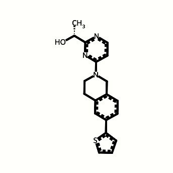 C[C@@H](O)c1nccc(N2CCc3cc(-c4cccs4)ccc3C2)n1